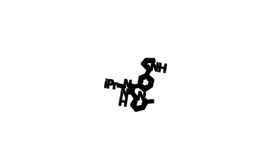 Cc1cccc(-c2[nH]c(C(C)C)nc2-c2cccc(-c3ccc[nH]3)c2)n1